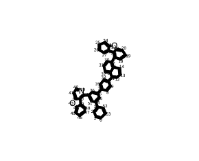 c1ccc(-c2cc(-c3ccc(-c4cccc5c(-c6cccc7oc8ccccc8c67)cccc45)cc3)cc(-c3nccc4oc5ccccc5c34)c2)cc1